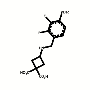 CCCCCCCCCCc1ccc(CNC2CC(C(=O)O)(C(=O)O)C2)c(F)c1F